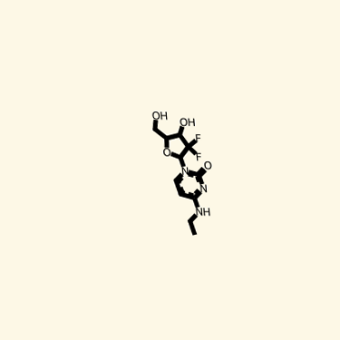 CCNc1ccn(C2OC(CO)C(O)C2(F)F)c(=O)n1